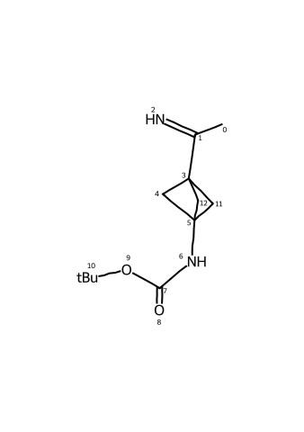 CC(=N)C12CC(NC(=O)OC(C)(C)C)(C1)C2